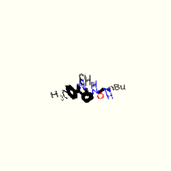 CCCCNCC(=O)Nc1cccc2c1CN(C)CC2c1ccc(C)cc1